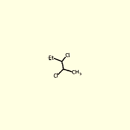 C[CH]C(Cl)C(C)Cl